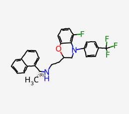 C[C@@H](NCCC1CN(c2ccc(C(F)(F)F)cc2)c2c(F)cccc2O1)c1cccc2ccccc12